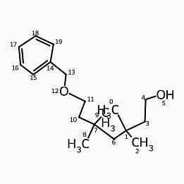 CC(C)(CCO)CC(C)(C)CCOCc1ccccc1